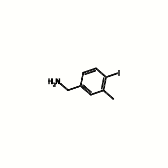 Cc1cc(CN)ccc1I